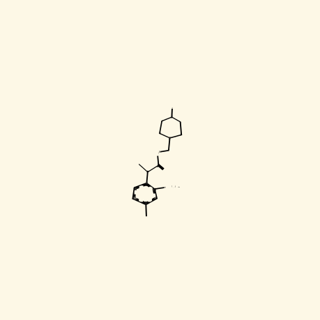 COc1cc(C)ccc1C(C)C(=O)NCC1CCC(C(=O)O)CC1